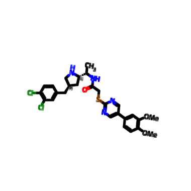 COc1ccc(-c2cnc(SCC(=O)NC(C)[C@@H]3C[C@@H](Cc4ccc(Cl)c(Cl)c4)CN3)nc2)cc1OC